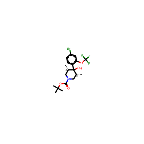 C[C@@H]1CN(C(=O)OC(C)(C)C)C[C@H](C)C1(O)c1ccc(Br)cc1OC(F)(F)F